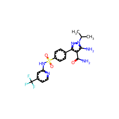 CC(C)n1nc(-c2ccc(S(=O)(=O)Nc3cc(C(F)(F)F)ccn3)cc2)c(C(N)=O)c1N